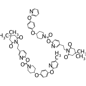 CC1(C)CC(=O)N(CCc2ccc(OC(=O)N3CCC(Oc4ccc(Oc5ccccn5)cc4)CC3)nc2)C(=O)C1.Cc1ccc(Oc2ccc(OC3CCN(C(=O)Oc4ccc(CCN5C(=O)CC(C)(C)CC5=O)cn4)CC3)cc2)nc1